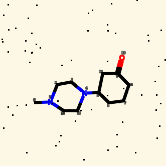 CN1CCN(C2CCCC(=O)C2)CC1